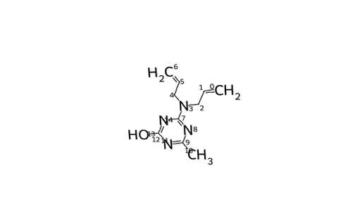 C=CCN(CC=C)c1nc(C)nc(O)n1